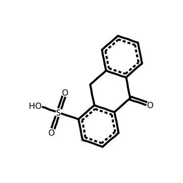 O=C1c2ccccc2Cc2c1cccc2S(=O)(=O)O